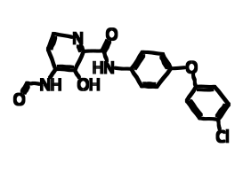 O=CNc1ccnc(C(=O)Nc2ccc(Oc3ccc(Cl)cc3)cc2)c1O